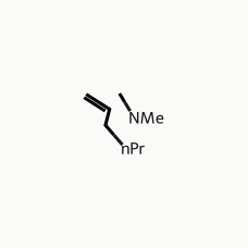 C=CCCCC.CNC